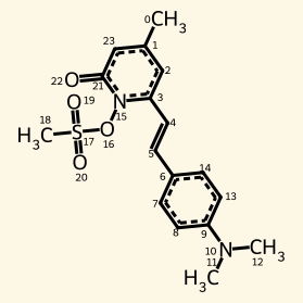 Cc1cc(/C=C/c2ccc(N(C)C)cc2)n(OS(C)(=O)=O)c(=O)c1